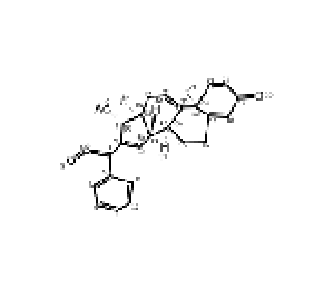 CC(=O)[C@H]1C(C(=S=O)c2ccccc2)=C[C@H]2[C@@H]3CCC4=CC(=O)C=C[C@]4(C)C3=CC[C@]12C